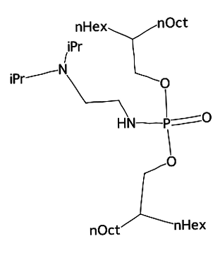 CCCCCCCCC(CCCCCC)COP(=O)(NCCN(C(C)C)C(C)C)OCC(CCCCCC)CCCCCCCC